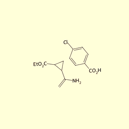 C=C(N)C1CC1C(=O)OCC.O=C(O)c1ccc(Cl)cc1